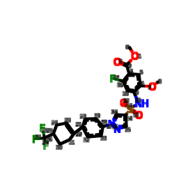 COC(=O)c1cc(OC)c(NS(=O)(=O)c2cnn(-c3ccc(C4=CCC(C(F)(F)F)CC4)cc3)c2)cc1F